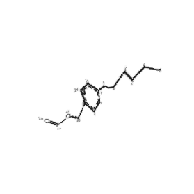 CCCCCCc1ccc(COP=O)cc1